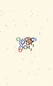 CC1COCCN1c1cc(C(C)(C)S(=O)(=O)c2ccncc2)nc(Cl)n1